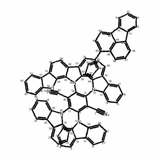 N#Cc1c(-n2c3ccccc3c3ccccc32)c(-n2c3ccccc3c3ccccc32)c(C#N)c(-n2c3ccc(-c4ccc5c6c(cccc46)-c4ccccc4-5)cc3c3ccc4c5ccccc5oc4c32)c1-n1c2ccccc2c2ccccc21